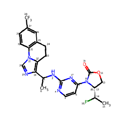 CC(Nc1nccc(N2C(=O)OC[C@@H]2C(C)F)n1)c1ncn2c1CCc1cc(C(F)(F)F)ccc1-2